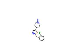 Fc1ccccc1Cc1ncc(C2CCNCC2)s1